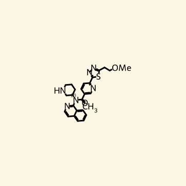 COCCc1nnc(-c2ccc(C(=O)N(c3nccc4cccc(C)c34)[C@@H]3CCCNC3)cn2)s1